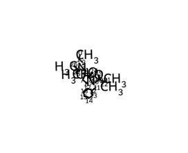 CCCN(CC1(C)CCN([C@@H](Cc2ccccc2)C(=O)C(C)C)C1=O)C(C)C